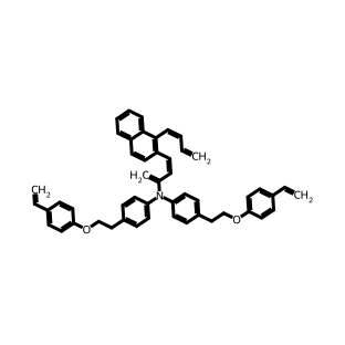 C=C/C=C\c1c(/C=C\C(=C)N(c2ccc(CCOc3ccc(C=C)cc3)cc2)c2ccc(CCOc3ccc(C=C)cc3)cc2)ccc2ccccc12